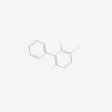 CCCc1ccc(O)c(-c2ccccc2)c1N